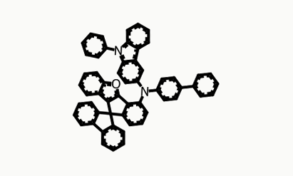 c1ccc(-c2ccc(N(c3ccc4c(c3)c3ccccc3n4-c3ccccc3)c3cccc4c3-c3oc5ccccc5c3C43c4ccccc4-c4ccccc43)cc2)cc1